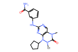 CCN1C(=O)N(C)c2cnc(Nc3cccc(C(N)=O)c3)nc2N1C1CCCC1